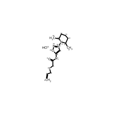 C=CCSCC(=O)[N-]c1c[n+](N2C(C)CCCC2C)no1.Cl